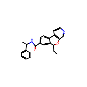 CCC1Oc2cnccc2-c2ccc(C(=O)N[C@H](C)c3ccccc3)cc21